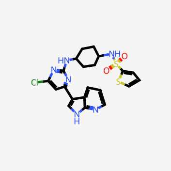 O=S(=O)(NC1CCC(Nc2nc(Cl)cc(-c3c[nH]c4ncccc34)n2)CC1)c1cccs1